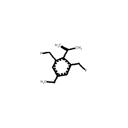 C=C(C)c1c(CF)cc(CC)cc1CF